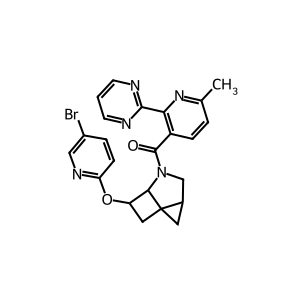 Cc1ccc(C(=O)N2CC3CC34CC(Oc3ccc(Br)cn3)C24)c(-c2ncccn2)n1